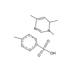 CC1=CC(C)N(C)C=N1.Cc1ccc(S(=O)(=O)O)cc1